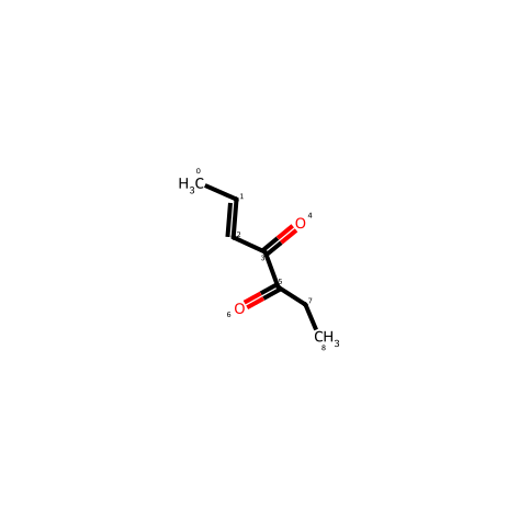 CC=CC(=O)C(=O)CC